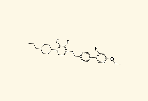 CCCC1CCC(c2ccc(CCc3ccc(-c4ccc(OCC)cc4F)cc3)c(F)c2F)CC1